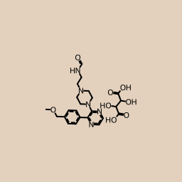 COCc1ccc(-c2nccnc2N2CCN(CCNC=O)CC2)cc1.O=C(O)C(O)C(O)C(=O)O